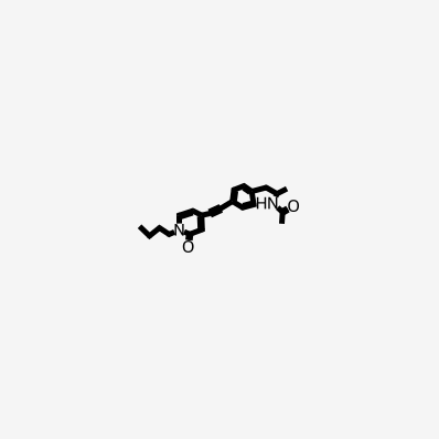 CCCCn1ccc(C#Cc2ccc(CC(C)NC(C)=O)cc2)cc1=O